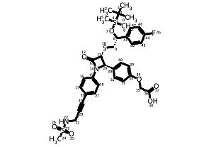 CC(C)(C)[Si](C)(C)O[C@@H](CS[C@H]1C(=O)N(c2ccc(C#CCNS(C)(=O)=O)cc2)[C@@H]1c1ccc(OCC(=O)O)cc1)c1ccc(F)cc1